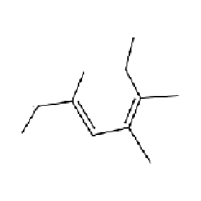 C[CH]C(C)=CC(C)=C(C)CC